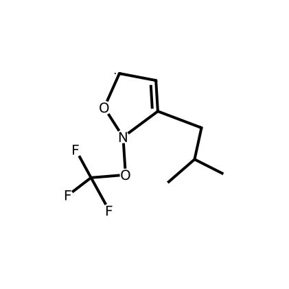 CC(C)CC1=C[CH]ON1OC(F)(F)F